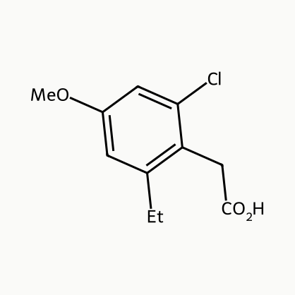 CCc1cc(OC)cc(Cl)c1CC(=O)O